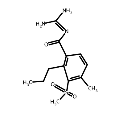 CCCc1c(C(=O)N=C(N)N)ccc(C)c1S(C)(=O)=O